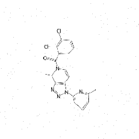 Cc1cccc(-n2nnc3c2C=CN(C(=O)c2cccc(Cl)c2Cl)C3C)n1